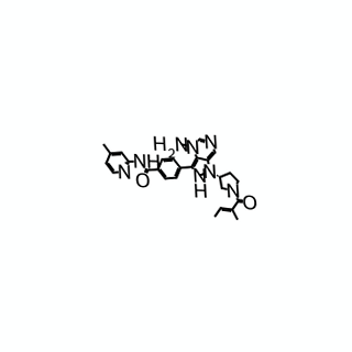 CC=C(C)C(=O)N1CC[C@@H](N2NC(c3ccc(C(=O)Nc4cc(C)ccn4)cc3)=C3C2=CN=CN3N)C1